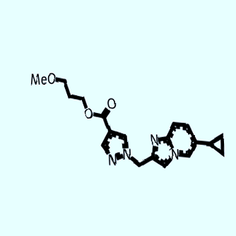 COCCCOC(=O)c1cnn(Cc2cn3cc(C4CC4)ccc3n2)c1